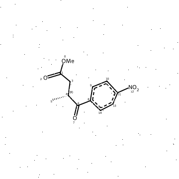 COC(=O)C[C@@H](C)C(=O)c1ccc([N+](=O)[O-])cc1